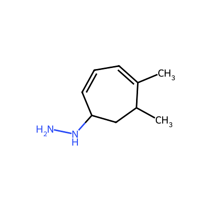 CC1=CC=CC(NN)CC1C